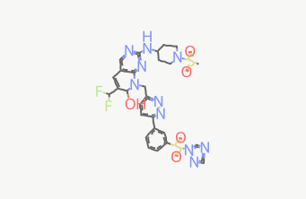 CS(=O)(=O)N1CCC(Nc2ncc3c(n2)N(Cc2ccc(-c4cccc(S(=O)(=O)n5cncn5)c4)nn2)C(O)C(C(F)F)=C3)CC1